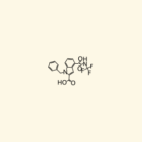 O=C(O)c1cc2c(S(=O)(=O)NC(F)(F)F)cccc2n1Cc1ccccc1